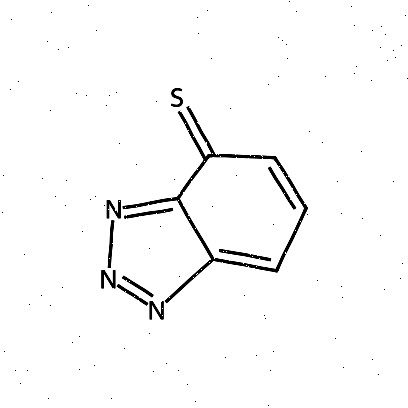 S=C1C=CC=C2N=NN=C12